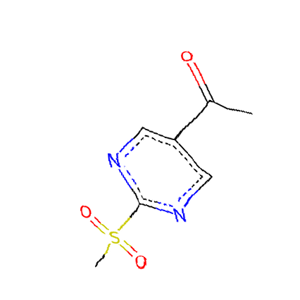 CC(=O)c1cnc(S(C)(=O)=O)nc1